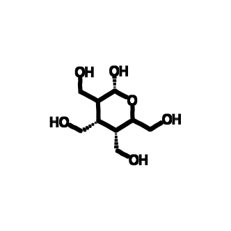 OCC1[C@H](O)OC(CO)[C@H](CO)[C@@H]1CO